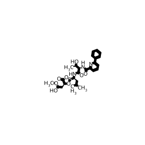 COC(O)C[C@@H]1OB([C@H](CC(C)C)NC(=O)[C@@H](NC(=O)c2cccc(-c3ccccc3)n2)[C@@H](C)O)OC1=O